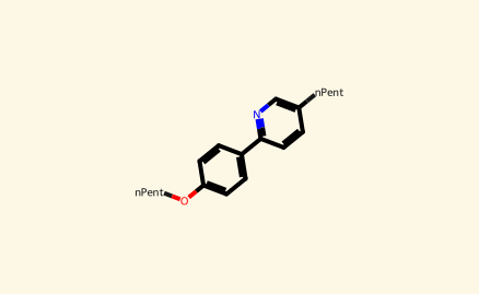 CCCCCOc1ccc(-c2ccc(CCCCC)cn2)cc1